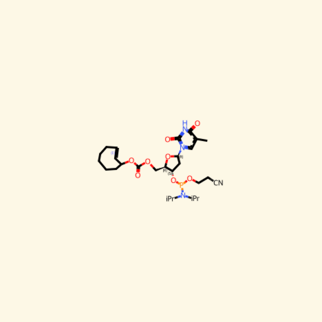 Cc1cn([C@H]2C[C@H](OP(OCCC#N)N(C(C)C)C(C)C)[C@@H](COC(=O)OC3/C=C/CCCCC3)O2)c(=O)[nH]c1=O